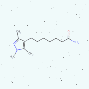 Cc1nn(C)c(C)c1CCCCCCC(N)=O